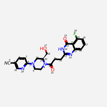 N#Cc1ccc(N2CCN(C(=O)CCc3nc4cccc(F)c4c(=O)[nH]3)[C@H](CO)C2)nc1